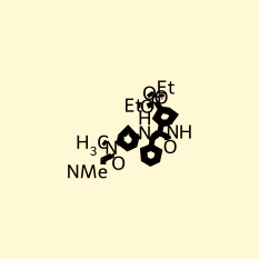 CCOP(=O)(OCC)c1ccc2c(c1)C(=C(Nc1ccc(N(C)C(=O)CNC)cc1)c1ccccc1)C(=O)N2